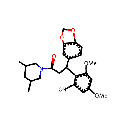 COc1cc(N=O)c(C(CC(=O)N2CC(C)CC(C)C2)c2ccc3c(c2)OCO3)c(OC)c1